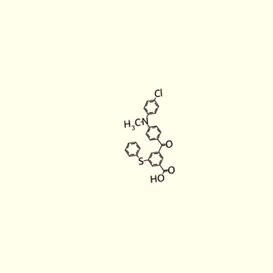 CN(c1ccc(Cl)cc1)c1ccc(C(=O)c2cc(Sc3ccccc3)cc(C(=O)O)c2)cc1